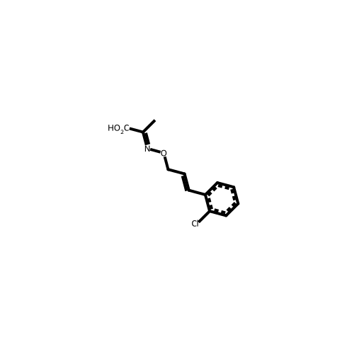 CC(=NOCC=Cc1ccccc1Cl)C(=O)O